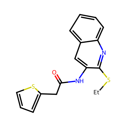 CCSc1nc2ccccc2cc1NC(=O)Cc1cccs1